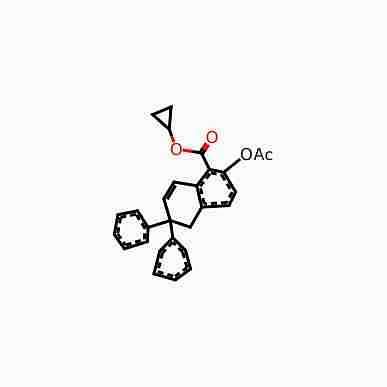 CC(=O)Oc1ccc2c(c1C(=O)OC1CC1)C=CC(c1ccccc1)(c1ccccc1)C2